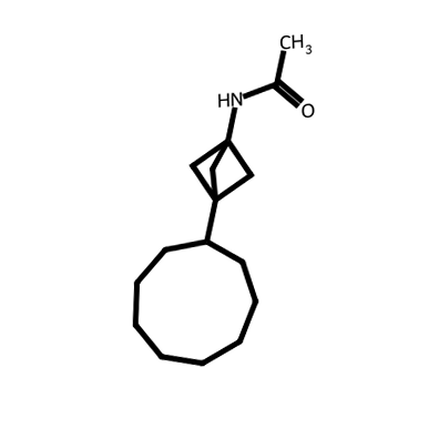 CC(=O)NC12CC(C3CCCCCCCC3)(C1)C2